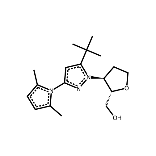 Cc1ccc(C)n1-c1cc(C(C)(C)C)n([C@H]2CCO[C@@H]2CO)n1